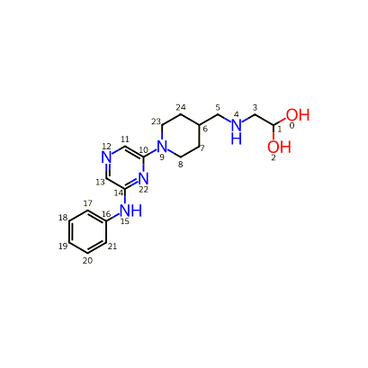 OC(O)CNCC1CCN(c2cncc(Nc3ccccc3)n2)CC1